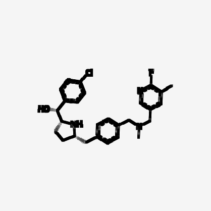 Cc1cc(CN(C)Cc2ccc(C[C@@H]3CC[C@H]([C@H](O)c4ccc(Cl)cc4)N3)cc2)cnc1F